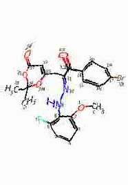 COc1cccc(F)c1N/N=C(/C(=O)c1ccc(Br)cc1)C1=CC(=O)OC(C)(C)O1